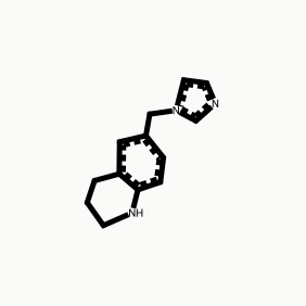 c1cn(Cc2ccc3c(c2)CCCN3)cn1